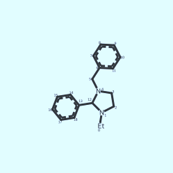 CCN1CCN(Cc2ccccc2)C1c1ccccc1